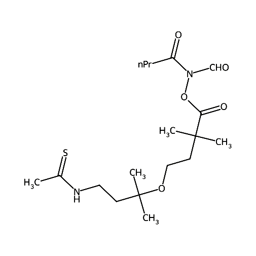 CCCC(=O)N(C=O)OC(=O)C(C)(C)CCOC(C)(C)CCNC(C)=S